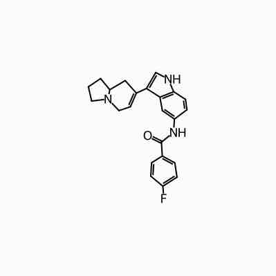 O=C(Nc1ccc2[nH]cc(C3=CCN4CCCC4C3)c2c1)c1ccc(F)cc1